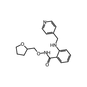 O=C(NOCC1CCCO1)c1ccccc1NCc1ccncc1